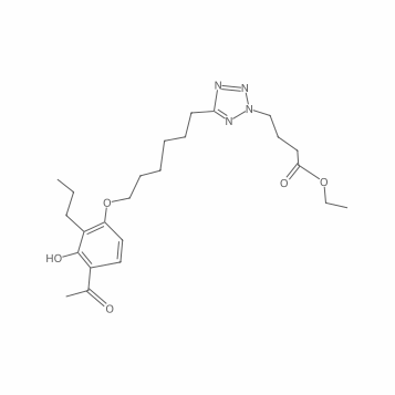 CCCc1c(OCCCCCCc2nnn(CCCC(=O)OCC)n2)ccc(C(C)=O)c1O